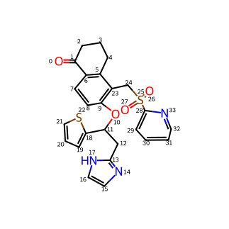 O=C1CCCc2c1ccc(OC(Cc1ncc[nH]1)c1cccs1)c2CS(=O)(=O)c1ccccn1